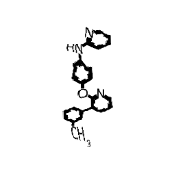 Cc1cccc(-c2cccnc2Oc2ccc(Nc3ccccn3)cc2)c1